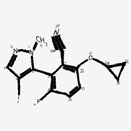 Cn1ncc(I)c1-c1c(F)ccc(OC2CC2)c1C#N